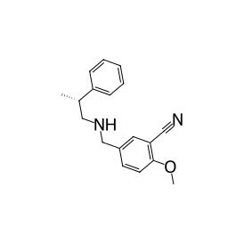 COc1ccc(CNC[C@H](C)c2ccccc2)cc1C#N